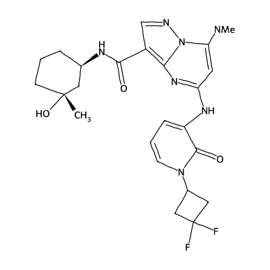 CNc1cc(Nc2cccn(C3CC(F)(F)C3)c2=O)nc2c(C(=O)N[C@@H]3CCC[C@@](C)(O)C3)cnn12